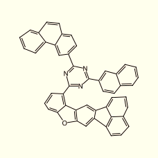 c1ccc2cc(-c3nc(-c4ccc5ccc6ccccc6c5c4)nc(-c4cccc5oc6cc7c(cc6c45)-c4cccc5cccc-7c45)n3)ccc2c1